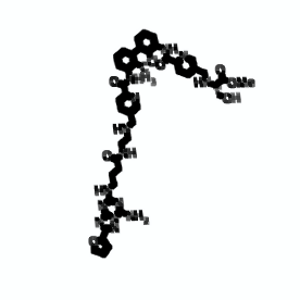 COC(=O)[C@H](CO)NCc1ccc(C(=O)Nc2cccc(-c3cccc(NC(=O)c4ccc(CNCCNC(=O)CCCNc5nc(N)n6nc(-c7ccco7)nc6n5)cn4)c3C)c2Cl)nc1